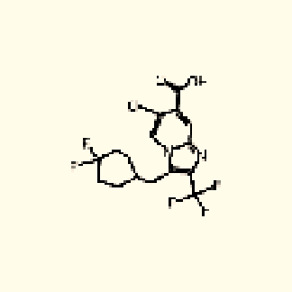 O=C(O)c1cc2nc(C(F)(F)F)c(CC3CCC(F)(F)CC3)n2cc1Cl